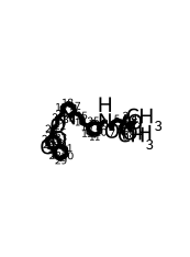 CCC(CC)(CC(=O)Nc1cccc(C=Cc2cccc(COCC3COc4ccccc4O3)n2)c1)C(=O)O